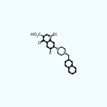 CCn1cc(C(=O)O)c(=O)c2cc(F)c(N3CCN(Cc4ccc5ccccc5c4)CC3)cc21